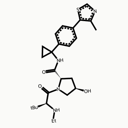 CCN[C@H](C(=O)N1C[C@H](O)C[C@H]1C(=O)NC1(c2ccc(-c3scnc3C)cc2)CC1)C(C)(C)C